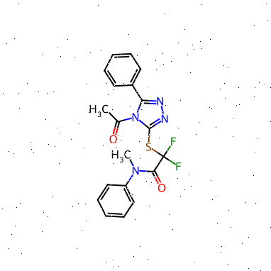 CC(=O)n1c(SC(F)(F)C(=O)N(C)c2ccccc2)nnc1-c1ccccc1